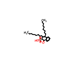 CCCCCCCCCC1=C(CCCCCCCCC)C(S(=O)(=O)O)C(=O)c2ccccc21